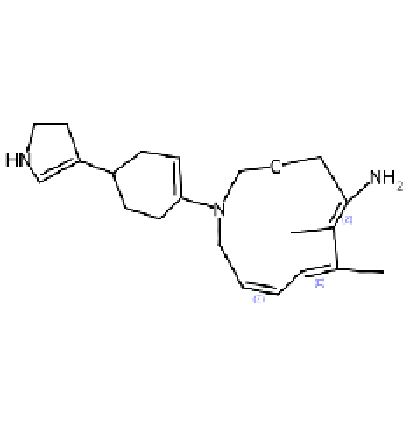 CC1=C(\N)CCCN(C2=CCC(C3=CNCC3)CC2)C\C=C/C=C/1C